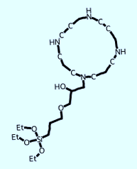 CCO[Si](CCCOCC(O)CN1CCCNCCCNCCCNCCC1)(OCC)OCC